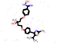 Cc1nc(-c2ccc(OCCC(C)(O)CCOc3ccc(C(=N)NO)cc3)cc2)c(C(C)C)s1